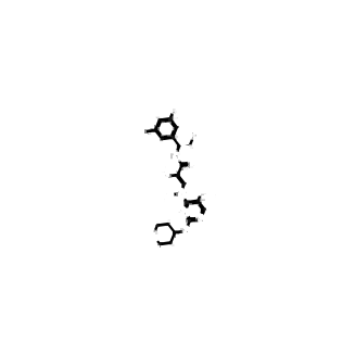 C=N/C(=C\N(C)c1nc(NC2CCOCC2)ncc1C)C(=O)N[C@H](CN)c1cc(F)cc(Cl)c1